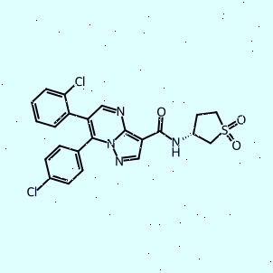 O=C(N[C@@H]1CCS(=O)(=O)C1)c1cnn2c(-c3ccc(Cl)cc3)c(-c3ccccc3Cl)cnc12